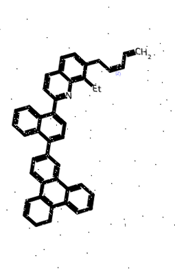 C=C/C=C\Cc1ccc2ccc(-c3ccc(-c4ccc5c6c(c7ccccc7c5c4)CCC=C6)c4ccccc34)nc2c1CC